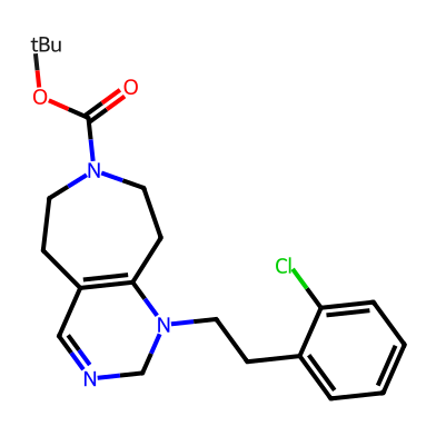 CC(C)(C)OC(=O)N1CCC2=C(CC1)N(CCc1ccccc1Cl)CN=C2